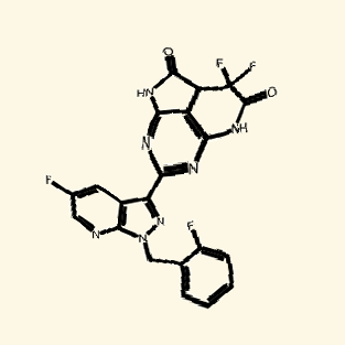 C[C@@]12C(=O)Nc3nc(-c4nn(Cc5ccccc5F)c5ncc(F)cc45)nc(c31)NC(=O)C2(F)F